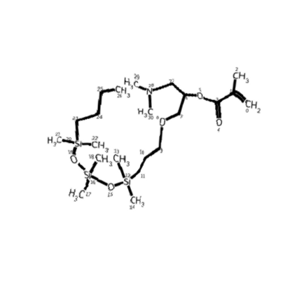 C=C(C)C(=O)OC(COCCC[Si](C)(C)O[Si](C)(C)O[Si](C)(C)CCCC)CN(C)C